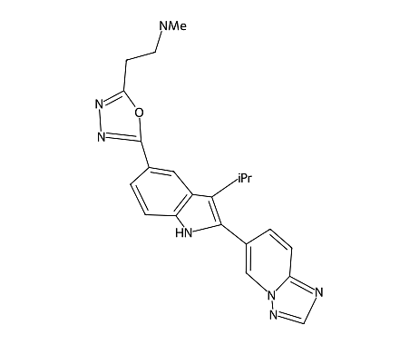 CNCCc1nnc(-c2ccc3[nH]c(-c4ccc5ncnn5c4)c(C(C)C)c3c2)o1